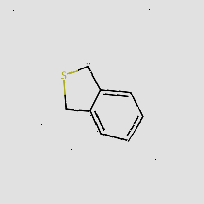 [C]1SCc2ccccc21